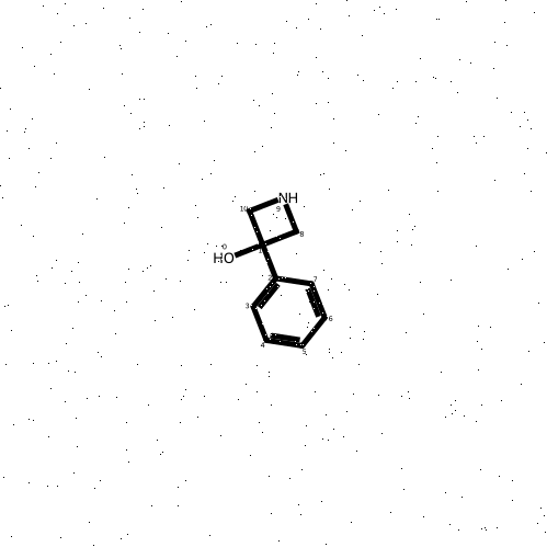 OC1(c2ccccc2)CNC1